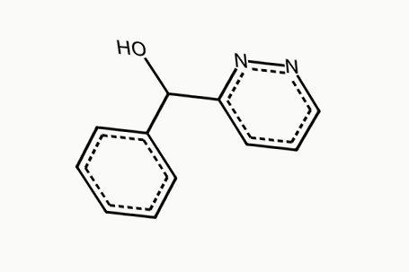 OC(c1ccccc1)c1cccnn1